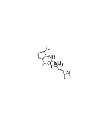 CC(C)c1cccc(C(C)C)c1NC(=O)NS(=O)(=O)/C=C/[C@]1(C)CCCN1C